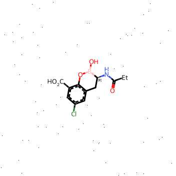 CCC(=O)N[C@H]1Cc2cc(Cl)cc(C(=O)O)c2OB1O